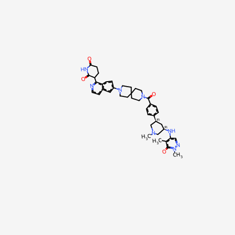 Cc1c(N[C@@H]2C[C@H](c3ccc(C(=O)N4CCC5(CC4)CCN(c4ccc6c(C7CCC(=O)NC7=O)nccc6c4)CC5)cc3)CN(C)C2)cnn(C)c1=O